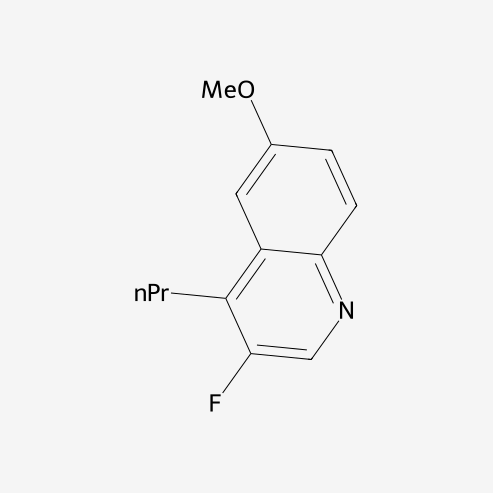 [CH2]CCc1c(F)cnc2ccc(OC)cc12